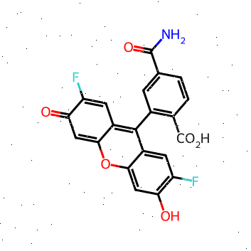 NC(=O)c1ccc(C(=O)O)c(-c2c3cc(F)c(=O)cc-3oc3cc(O)c(F)cc23)c1